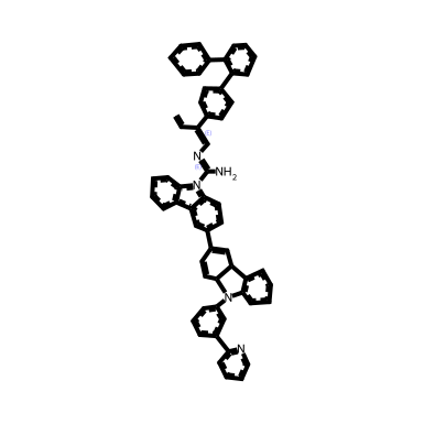 C=C/C(=C\N=C(/N)n1c2ccccc2c2cc(C3=CC4c5ccccc5N(c5cccc(-c6ccccn6)c5)C4C=C3)ccc21)c1ccc(-c2ccccc2-c2ccccc2)cc1